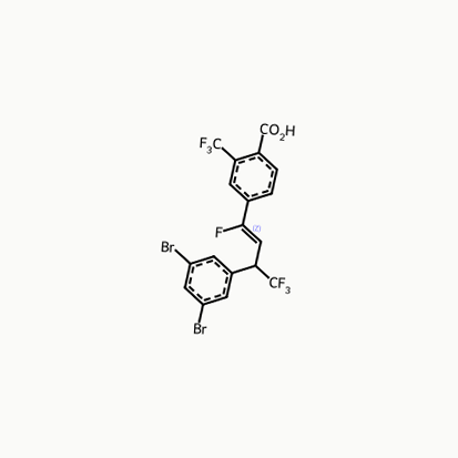 O=C(O)c1ccc(/C(F)=C/C(c2cc(Br)cc(Br)c2)C(F)(F)F)cc1C(F)(F)F